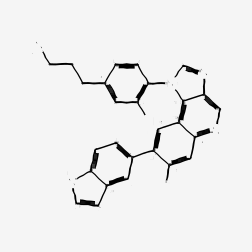 NCCCc1ccc(-n2cnc3cnc4cc(Cl)c(-c5ccc6[nH]ccc6c5)cc4c32)c(Cl)c1